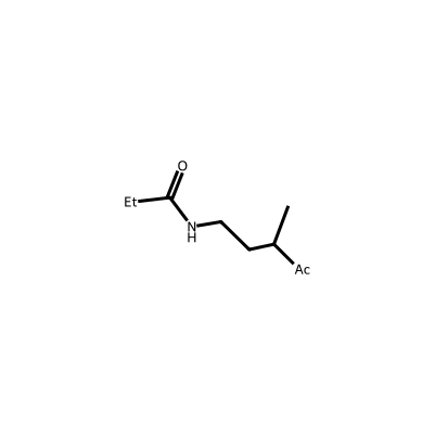 CCC(=O)NCCC(C)C(C)=O